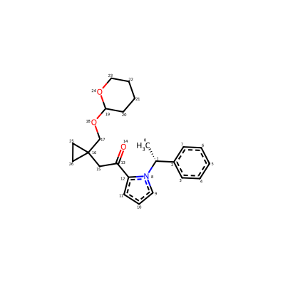 C[C@H](c1ccccc1)n1cccc1C(=O)CC1(COC2CCCCO2)CC1